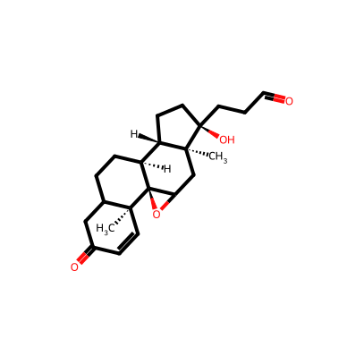 C[C@]12C=CC(=O)CC1CC[C@H]1[C@@H]3CC[C@](O)(CCC=O)[C@@]3(C)CC3O[C@]312